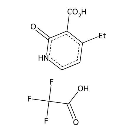 CCc1cc[nH]c(=O)c1C(=O)O.O=C(O)C(F)(F)F